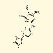 N#Cc1c(N)cc(Nc2ccc(-c3cnco3)cc2)[nH]c1=O